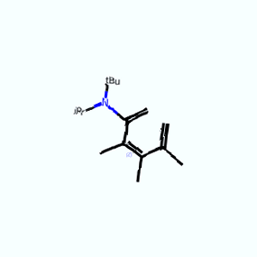 C=C(C)/C(C)=C(/C)C(=C)N(C(C)C)C(C)(C)C